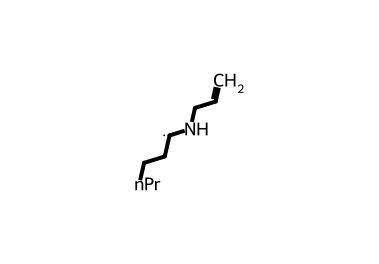 C=CCN[CH]CCCCC